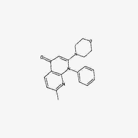 Cc1ccc2c(=O)cc(N3CCOCC3)n(-c3ccccc3)c2n1